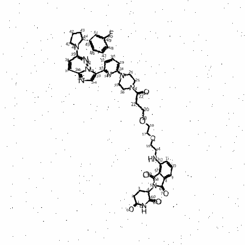 O=C1CCC(N2C(=O)c3cccc(NCCOCCOCCC(=O)N4CCN(c5cccc(-c6cnc7ccc(N8CCC[C@@H]8c8cccc(F)c8)nn67)n5)CC4)c3C2=O)C(=O)N1